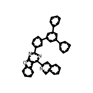 c1ccc(-c2cc(-c3ccccc3)cc(-c3cccc(-c4nc(-c5cc6ccccc6cn5)c5c(n4)oc4ccccc45)c3)c2)cc1